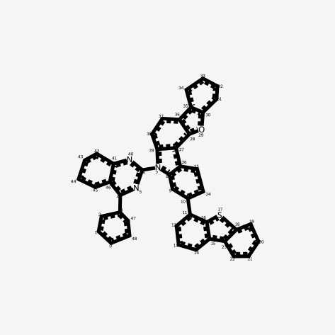 c1ccc(-c2nc(-n3c4cc(-c5cccc6c5sc5ccccc56)ccc4c4c5oc6ccccc6c5ccc43)nc3ccccc23)cc1